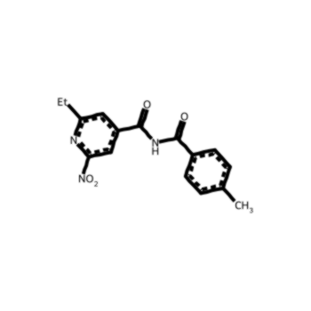 CCc1cc(C(=O)NC(=O)c2ccc(C)cc2)cc([N+](=O)[O-])n1